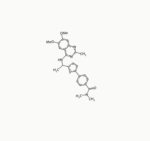 COc1cc2nc(C)nc(NC(C)c3ccc(-c4ccc(C(=O)N(C)C)cc4)s3)c2cc1OC